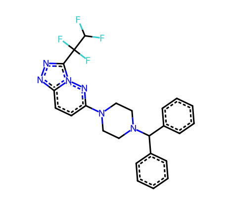 FC(F)C(F)(F)c1nnc2ccc(N3CCN(C(c4ccccc4)c4ccccc4)CC3)nn12